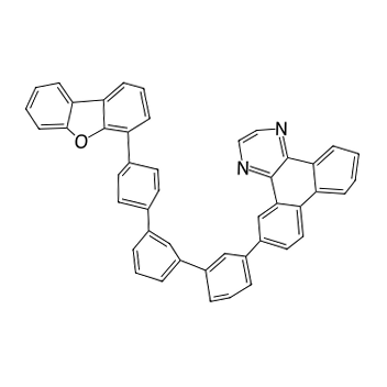 c1cc(-c2ccc(-c3cccc4c3oc3ccccc34)cc2)cc(-c2cccc(-c3ccc4c5ccccc5c5nccnc5c4c3)c2)c1